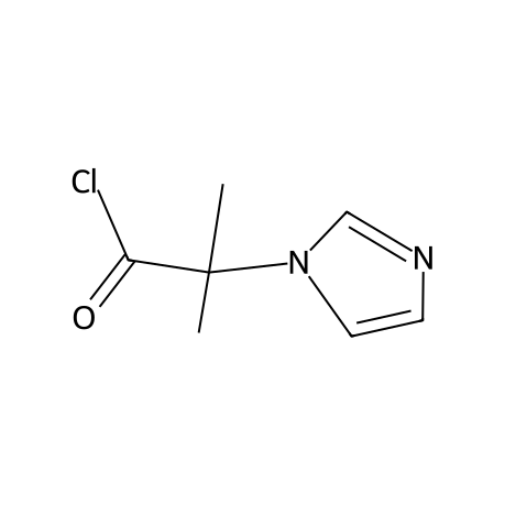 CC(C)(C(=O)Cl)n1ccnc1